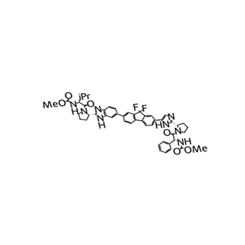 COC(=O)N[C@H](C(=O)N1CCC[C@H]1c1nc2ccc(-c3ccc4c(c3)C(F)(F)c3cc(-c5cnc([C@@H]6CCCN6C(=O)[C@H](NC(=O)OC)c6ccccc6)[nH]5)ccc3-4)cc2[nH]1)C(C)C